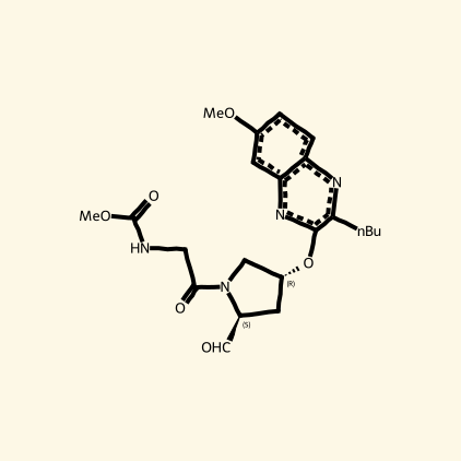 CCCCc1nc2ccc(OC)cc2nc1O[C@@H]1C[C@@H](C=O)N(C(=O)CNC(=O)OC)C1